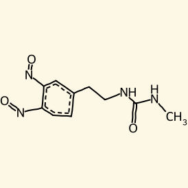 CNC(=O)NCCc1ccc(N=O)c(N=O)c1